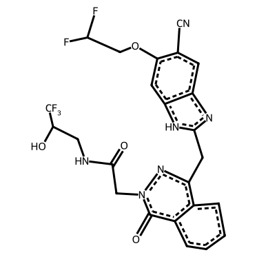 N#Cc1cc2nc(Cc3nn(CC(=O)NCC(O)C(F)(F)F)c(=O)c4ccccc34)[nH]c2cc1OCC(F)F